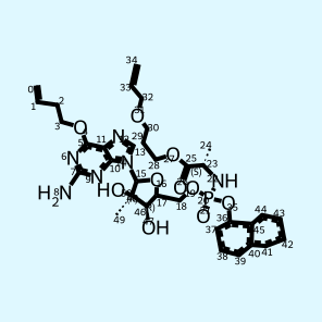 C=CCCOc1nc(N)nc2c1ncn2C1OC(COP(=O)(N[C@@H](C)C(=O)OCCCOCC=C)Oc2cccc3ccccc23)[C@@H](O)[C@@]1(C)O